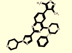 Cc1noc(C)c1-c1ccc2nc(-c3cnn(C4CCOCC4)c3)nc(N3CCOC[C@@H]3c3ccccc3)c2c1